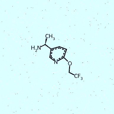 C[C@H](N)c1ccc(OCC(F)(F)F)nc1